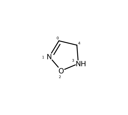 C1=NONC1